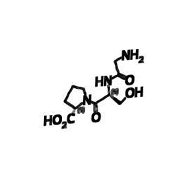 NCC(=O)N[C@@H](CO)C(=O)N1CCC[C@H]1C(=O)O